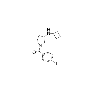 O=C(c1ccc(I)cc1)N1CC[C@H](NC2CCC2)C1